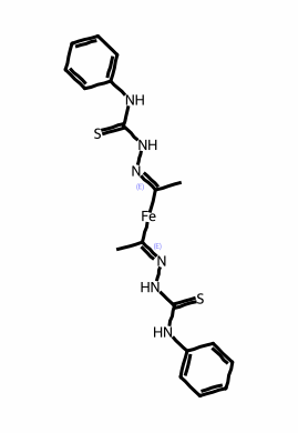 C/[C](=N\NC(=S)Nc1ccccc1)[Fe]/[C](C)=N/NC(=S)Nc1ccccc1